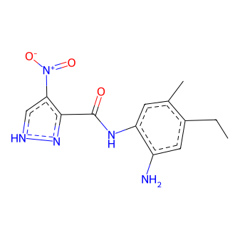 CCc1cc(N)c(NC(=O)c2n[nH]cc2[N+](=O)[O-])cc1C